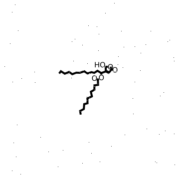 CCCCCCCCCCCCC(OC(=O)CCCCCCCCCCC)C1=CC(=O)OC1O